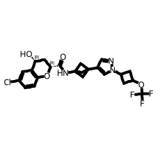 O=C(NC12CC(c3cnn(C4CC(OC(F)(F)F)C4)c3)(C1)C2)[C@H]1C[C@@H](O)c2cc(Cl)ccc2O1